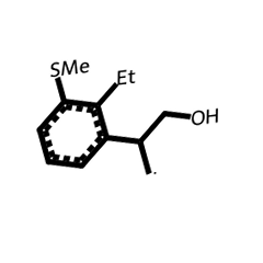 [CH2]C(CO)c1cccc(SC)c1CC